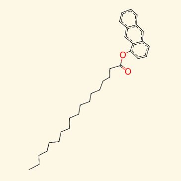 CCCCCCCCCCCCCCCCCC(=O)Oc1cccc2cc3ccccc3cc12